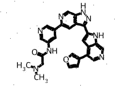 CN(C)CC(=O)Nc1cncc(-c2cc3c(-c4cc5c(-c6ccoc6)cncc5[nH]4)n[nH]c3cn2)c1